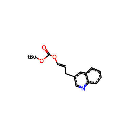 CC(C)(C)OC(=O)OC=CCc1cnc2ccccc2c1